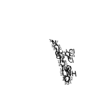 Cc1c(Cl)cc(CC(OC(=O)N2CCC(N3CCc4ccccc4NC3=O)CC2)C(=O)N2CCC(N(C)C)CC2)cc1Cl